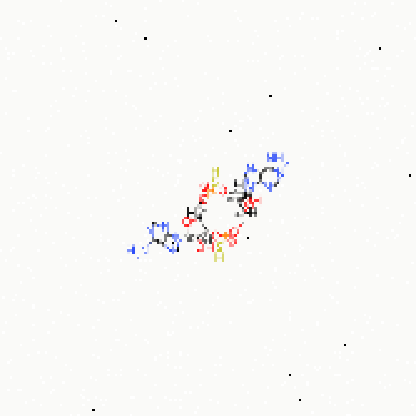 Nc1ncnc2c1ncn2[C@@H]1O[C@@H]2COP(=O)(S)O[C@@H]3[C@H](O)[C@@H](COP(=O)(S)O[C@H]2[C@H]1O)O[C@H]3n1cnc2c(N)ncnc21